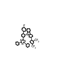 Fc1ccc(-c2ccc(-c3nc(-c4ccccc4)nc(-c4ccccc4)n3)cc2-n2c3ccccc3c3ccc(-c4ccc(C(F)(F)F)cc4C(F)(F)F)cc32)cc1